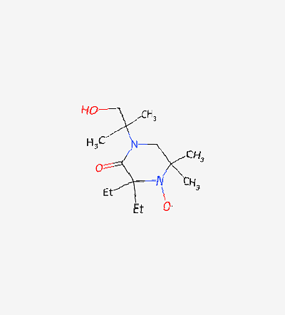 CCC1(CC)C(=O)N(C(C)(C)CO)CC(C)(C)N1[O]